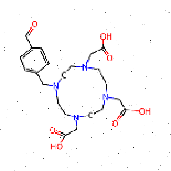 O=Cc1ccc(CN2CCN(CC(=O)O)CCN(CC(=O)O)CCN(CC(=O)O)CC2)cc1